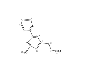 COc1cc(-c2ccccc2)nc(SCC(=O)O)n1